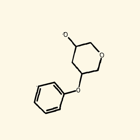 [O]C1COCC(Oc2c[c]ccc2)C1